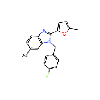 CC(=O)c1ccc2nc(-c3ccc(C)o3)n(Cc3ccc(F)cc3)c2c1